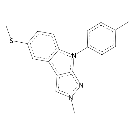 CSc1ccc2c(c1)c1cn(C)nc1n2-c1ccc(C)cc1